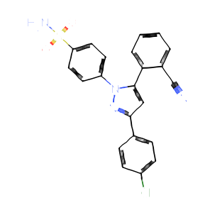 N#Cc1ccccc1-c1cc(-c2ccc(Cl)cc2)nn1-c1ccc(S(N)(=O)=O)cc1